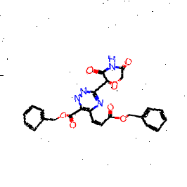 O=C1COC(c2nnc(C(=O)OCc3ccccc3)c(/C=C\C(=O)OCc3ccccc3)n2)C(=O)N1